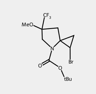 COC1(C(F)(F)F)CN(C(=O)OC(C)(C)C)C2(CC2Br)C1